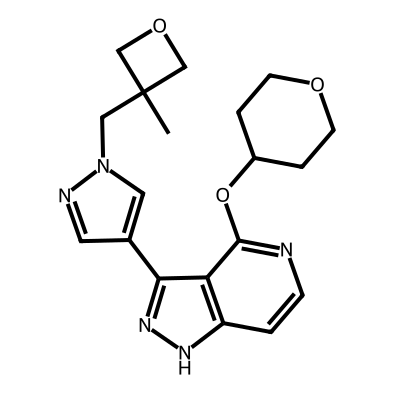 CC1(Cn2cc(-c3n[nH]c4ccnc(OC5CCOCC5)c34)cn2)COC1